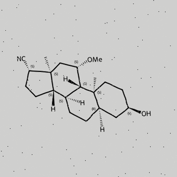 CO[C@H]1C[C@]2(C)[C@@H](C#N)CC[C@H]2[C@@H]2CC[C@@H]3C[C@H](O)CC[C@]3(C)[C@H]21